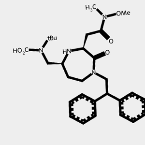 CON(C)C(=O)C[C@@H]1N[C@H](CN(C(=O)O)C(C)(C)C)CCN(CC(c2ccccc2)c2ccccc2)C1=O